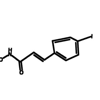 O=C(/C=C/c1ccc(I)cc1)NO